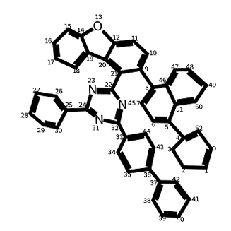 C1=CCCC(c2ccc(-c3ccc4oc5ccccc5c4c3-c3nc(-c4ccccc4)nc(-c4ccc(-c5ccccc5)cc4)n3)c3ccccc23)=C1